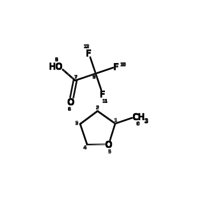 CC1CCCO1.O=C(O)C(F)(F)F